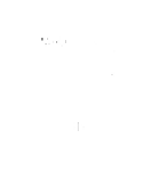 COc1cc[c]c(CCC(C)C)c1